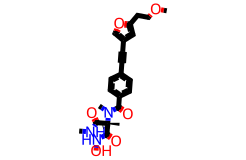 CNC(=O)[C@@](C)(C(=O)NO)N(C)C(=O)c1ccc(C#Cc2coc(CCOC)c2)cc1